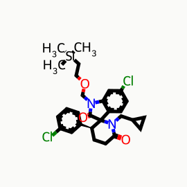 C[Si](C)(C)CCOCN1C(=O)C2(c3ccc(Cl)cc31)[C@H](c1cccc(Cl)c1)CCC(=O)N2CC1CC1